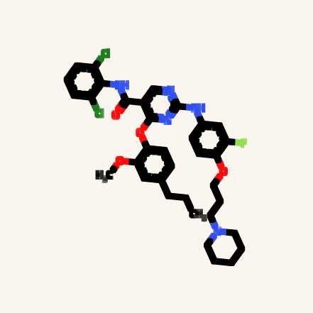 CCCc1ccc(Oc2nc(Nc3ccc(OCCCN4CCCCC4)c(F)c3)ncc2C(=O)Nc2c(Cl)cccc2Cl)c(OC)c1